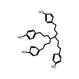 Oc1ccc(CCCC(CCCc2ccc(O)cc2)C(CCCc2ccc(O)cc2)CCCc2ccc(O)cc2)cc1